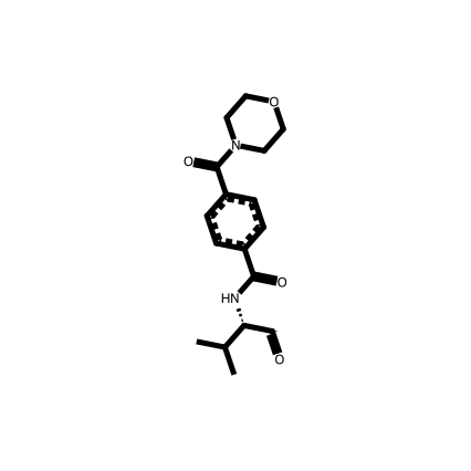 CC(C)[C@@H]([C]=O)NC(=O)c1ccc(C(=O)N2CCOCC2)cc1